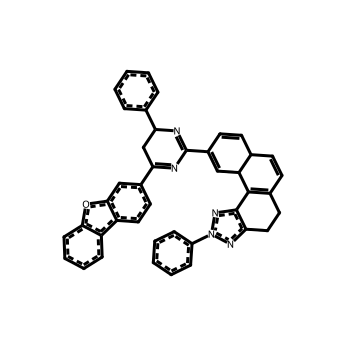 C1=CC2C=CC3=C(c4nn(-c5ccccc5)nc4CC3)C2C=C1C1=NC(c2ccccc2)CC(c2ccc3c(c2)oc2ccccc23)=N1